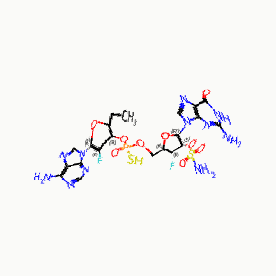 CCC1O[C@@H](n2cnc3c(N)ncnc32)[C@H](F)[C@@H]1OP(=O)(S)OC[C@H]1O[C@@H](n2cnc3c(=O)[nH]c(N)nc32)[C@H](OS(N)(=O)=O)[C@@H]1F